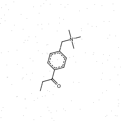 CCC(=O)c1ccc(C[N+](C)(C)C)cc1